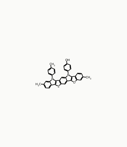 Cc1ccc(-n2c3cc(C)ccc3c3sc4cc5c6oc7cc(C)ccc7c6n(-c6ccc(O)cc6)c5cc4c32)cc1